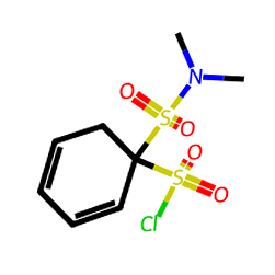 CN(C)S(=O)(=O)C1(S(=O)(=O)Cl)C=CC=CC1